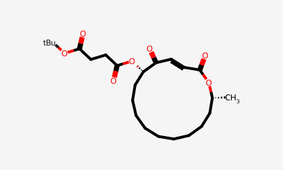 C[C@@H]1CCCCCCCCC[C@H](OC(=O)CCC(=O)OC(C)(C)C)C(=O)/C=C/C(=O)O1